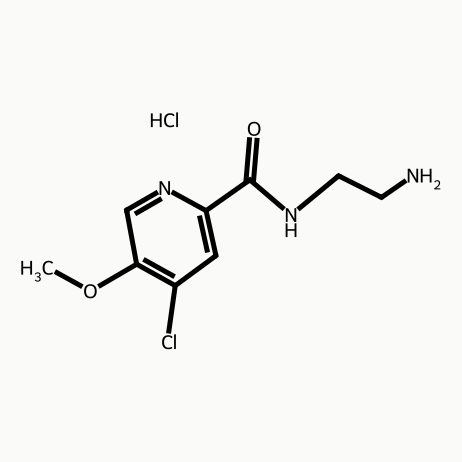 COc1cnc(C(=O)NCCN)cc1Cl.Cl